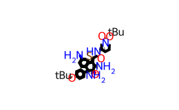 CC(C)(C)OC(=O)N1CCC[C@@H](NC(=O)c2sc3c(N)ccc4c3c2[C@@H](N)C(=O)[C@@]4(N)c2ccc(OC(C)(C)C)cc2)C1